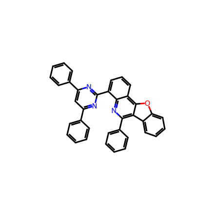 c1ccc(-c2cc(-c3ccccc3)nc(-c3cccc4c3nc(-c3ccccc3)c3c5ccccc5oc43)n2)cc1